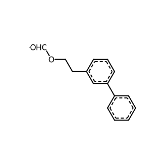 O=[C]OCCc1cccc(-c2ccccc2)c1